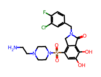 NCCN1CCN(S(=O)(=O)c2cc(O)c(O)c3c2CN(Cc2ccc(F)c(Cl)c2)C3=O)CC1